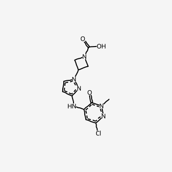 Cn1nc(Cl)cc(Nc2ccn(C3CN(C(=O)O)C3)n2)c1=O